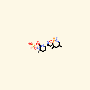 CC1CNP[C@]2(CC([C@@H]3CC[C@H]4CN3C(=O)N4OS(=O)(=O)O)=NO2)C(C)C1